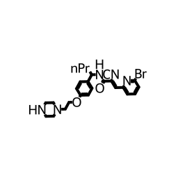 CCCC(NC(=O)/C(C#N)=C/c1cccc(Br)n1)c1ccc(OCCN2CCNCC2)cc1